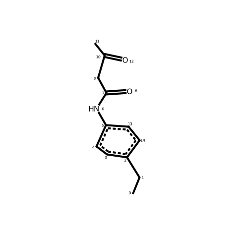 CCc1ccc(NC(=O)CC(C)=O)cc1